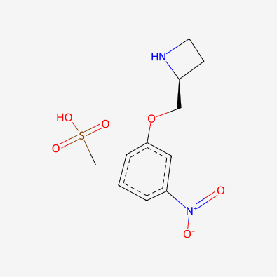 CS(=O)(=O)O.O=[N+]([O-])c1cccc(OC[C@@H]2CCN2)c1